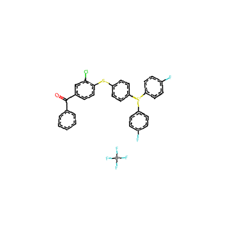 F[B-](F)(F)F.O=C(c1ccccc1)c1ccc(Sc2ccc([S+](c3ccc(F)cc3)c3ccc(F)cc3)cc2)c(Cl)c1